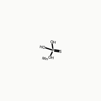 OP(O)(O)=S.[Mn]